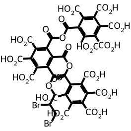 O=C(O)c1c(C(=O)O)c(C(=O)O)c(C(=O)OC(=O)c2c(C(=O)O)c(C(=O)O)c(C(=O)O)c(C(=O)OCC(Br)CBr)c2C(=O)OC(=O)c2c(C(=O)O)c(C(=O)O)c(C(=O)O)c(C(=O)O)c2C(=O)O)c(C(=O)O)c1C(=O)O